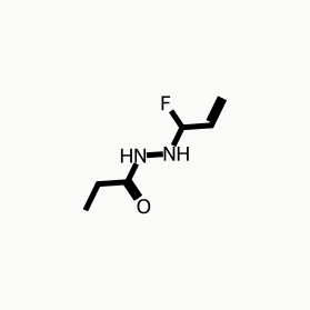 C=CC(F)NNC(=O)CC